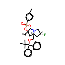 [2H]C1(OS(=O)(=O)c2ccc(C)cc2)CN2C[C@H](F)C[C@]2(CO[Si](c2ccccc2)(c2ccccc2)C(C)(C)C)C1